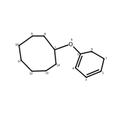 [CH]1CC=CC=C1OC1CCCCCCC1